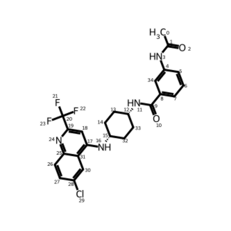 CC(=O)Nc1cccc(C(=O)N[C@H]2CC[C@@H](Nc3cc(C(F)(F)F)nc4ccc(Cl)cc34)CC2)c1